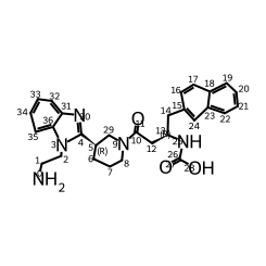 NCCn1c([C@@H]2CCCN(C(=O)C[C@@H](Cc3ccc4ccccc4c3)NC(=O)O)C2)nc2ccccc21